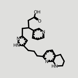 O=C(O)CC(Cc1cc(CCCc2ccc3c(n2)NCCC3)[nH]n1)c1cccnc1